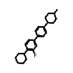 CC1CCC(c2ccc(-c3ccc(C4CCCCC4)c(F)c3)cc2)CC1